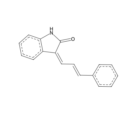 O=C1Nc2ccccc2C1=CC=Cc1ccccc1